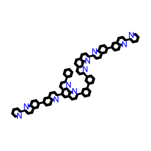 c1ccc(-c2ccc3c(-c4ccc5cc(-c6ccc7nc(-c8ccccn8)ccc7c6)ccc5n4)cc4ccc(-c5cccc(-c6cccc(-c7ccc8ccc9ccc(-c%10ccc%11cc(-c%12ccc%13nc(-c%14ccccn%14)ccc%13c%12)ccc%11n%10)nc9c8n7)c6)c5)nc4c3n2)cc1